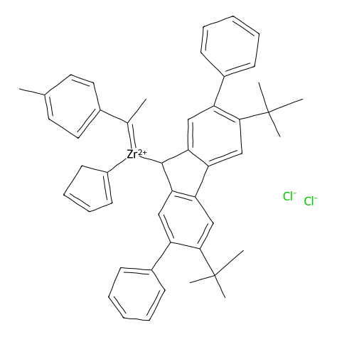 C/[C](c1ccc(C)cc1)=[Zr+2](/[C]1=CC=CC1)[CH]1c2cc(-c3ccccc3)c(C(C)(C)C)cc2-c2cc(C(C)(C)C)c(-c3ccccc3)cc21.[Cl-].[Cl-]